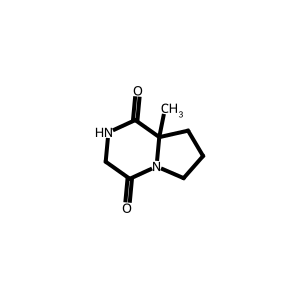 CC12CCCN1C(=O)CNC2=O